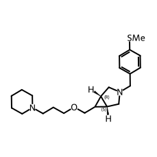 CSc1ccc(CN2C[C@@H]3C(COCCCN4CCCCC4)[C@@H]3C2)cc1